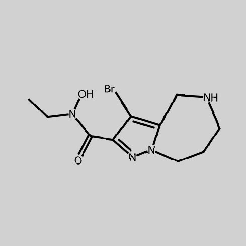 CCN(O)C(=O)c1nn2c(c1Br)CNCCC2